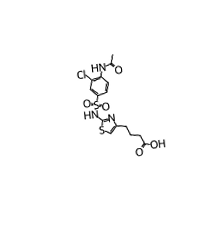 CC(=O)Nc1ccc(S(=O)(=O)Nc2nc(CCCC(=O)O)cs2)cc1Cl